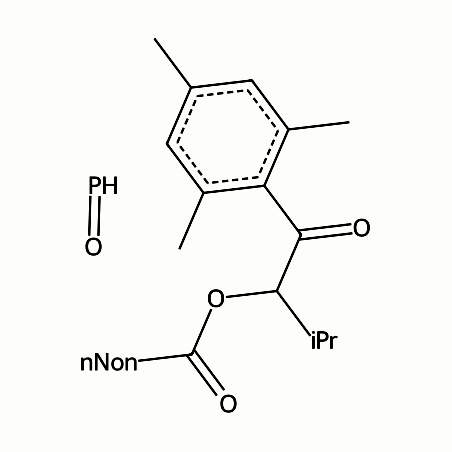 CCCCCCCCCC(=O)OC(C(=O)c1c(C)cc(C)cc1C)C(C)C.O=P